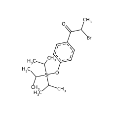 CC(Br)C(=O)c1ccc(O[Si](C(C)C)(C(C)C)C(C)C)cc1